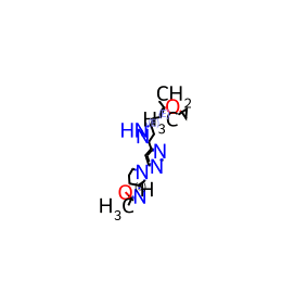 C=C/C(=C\C=C1/CC(c2cc(N3CCC4OC(C)=N[C@H]4C3)ncn2)=NN1)OC1(C)CC1